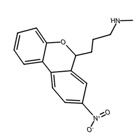 CNCCCC1Oc2ccccc2-c2ccc([N+](=O)[O-])cc21